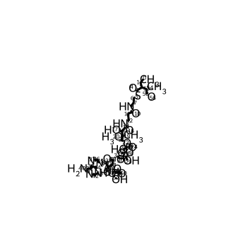 CCC(C(=O)SCCNC(=O)CCNC(=O)C(O)C(C)(C)COP(=O)(O)OP(=O)(O)OC[C@H]1O[C@@H](n2cnc3c(N)ncnc32)[C@H](O)[C@@H]1OP(=O)(O)O)C(C)C=O